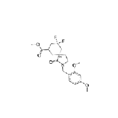 COC(=O)C1CC(F)(F)C[C@@]2(CCN(Cc3ccc(OC)cc3OC)C2=O)C1